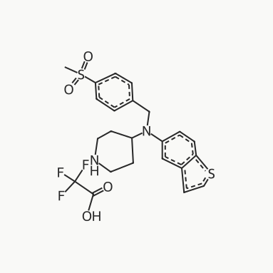 CS(=O)(=O)c1ccc(CN(c2ccc3sccc3c2)C2CCNCC2)cc1.O=C(O)C(F)(F)F